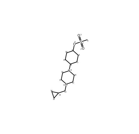 CS(=O)(=O)OC1CCC(N2CCN(CC3CC3)CC2)CC1